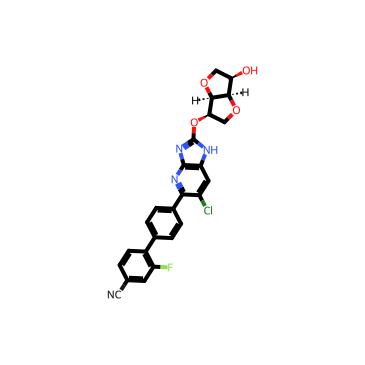 N#Cc1ccc(-c2ccc(-c3nc4nc(O[C@@H]5CO[C@H]6[C@@H]5OC[C@H]6O)[nH]c4cc3Cl)cc2)c(F)c1